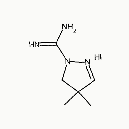 CC1(C)C=NN(C(=N)N)C1.I